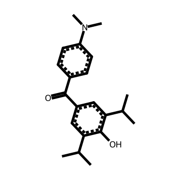 CC(C)c1cc(C(=O)c2ccc(N(C)C)cc2)cc(C(C)C)c1O